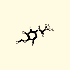 CN(C)C(=O)Nc1cc(F)c(SCCl)c(Cl)c1F